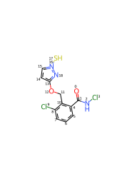 O=C(NCl)c1cccc(Cl)c1COc1ccn(S)n1